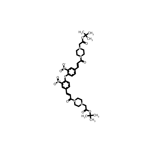 CC(C)(C)OC(=O)CN1CCN(C(=O)/C=C/c2ccc(Sc3ccc(/C=C/C(=O)N4CCN(CC(=O)OC(C)(C)C)CC4)cc3[N+](=O)[O-])c([N+](=O)[O-])c2)CC1